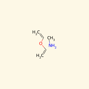 C=COC=C.CN